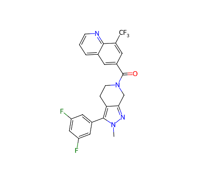 Cn1nc2c(c1-c1cc(F)cc(F)c1)CCN(C(=O)c1cc(C(F)(F)F)c3ncccc3c1)C2